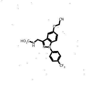 N#CCOc1ccc2c(c1)c(CNC(=O)O)nn2-c1ccc(C(F)(F)F)cc1